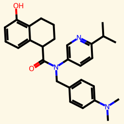 CC(C)c1ccc(N(Cc2ccc(N(C)C)cc2)C(=O)C2CCCc3c(O)cccc32)cn1